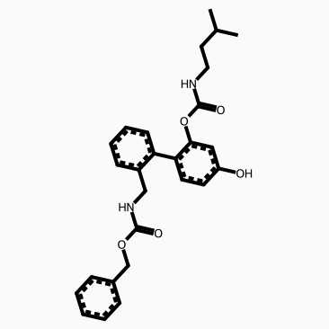 CC(C)CCNC(=O)Oc1cc(O)ccc1-c1ccccc1CNC(=O)OCc1ccccc1